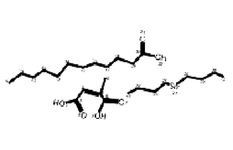 CC(=CC(=O)O)C(=O)O.CCCCCCCCCCCC(=O)O.CCC[CH2][Sn][CH2]CCC